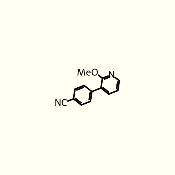 COc1ncccc1-c1ccc(C#N)cc1